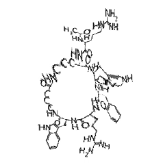 CC(O)N[C@@H](CCCNC(=N)N)C(=O)N[C@H]1CCCNC(=O)CCCNC(=O)[C@H](Cc2c[nH]c3ccccc23)NC(=O)[C@H](CCCNC(=N)N)NC(=O)[C@@H](Cc2ccccc2)NC(=O)[C@H](Cc2c[nH]cn2)NC1=O